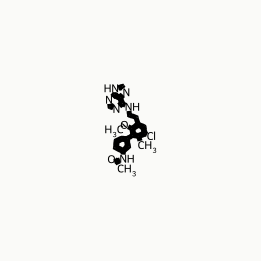 COc1c(CCNc2ncnc3[nH]cnc23)cc(Cl)c(C)c1-c1cccc(NC(C)=O)c1